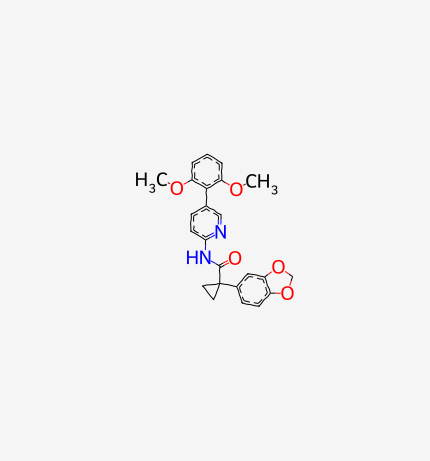 COc1cccc(OC)c1-c1ccc(NC(=O)C2(c3ccc4c(c3)OCO4)CC2)nc1